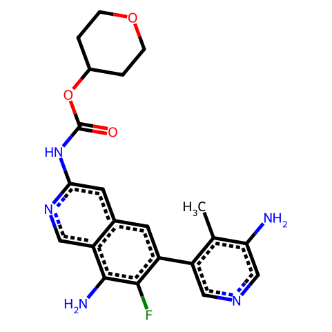 Cc1c(N)cncc1-c1cc2cc(NC(=O)OC3CCOCC3)ncc2c(N)c1F